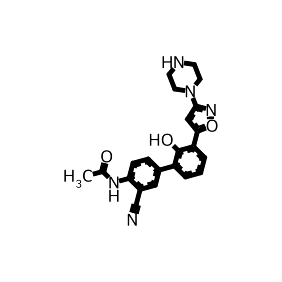 CC(=O)Nc1ccc(-c2cccc(-c3cc(N4CCNCC4)no3)c2O)cc1C#N